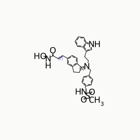 CS(=O)(=O)Nc1ccc(CN(CCc2c[nH]c3ccccc23)[C@H]2CCc3cc(/C=C/C(=O)NO)ccc32)cc1